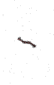 C=C(C)C(=O)OCCOCCOc1ccc(C(C)(C)c2ccc(OCCOCCOC(=O)C(=C)C)cc2)cc1